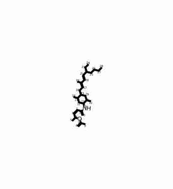 C=C(/C=C\C(C)OC(=C)C)NC1CC(C)C(C/C=C(C)/C=C/C(CC)CCCC)CC1C